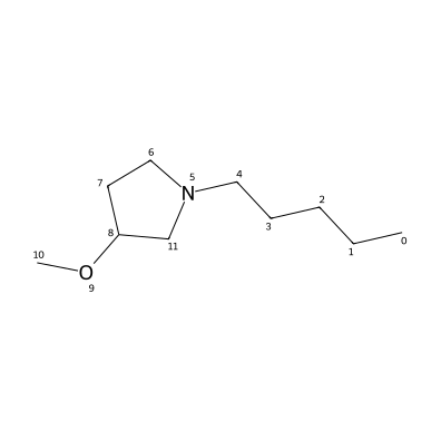 CCCCCN1CCC(OC)C1